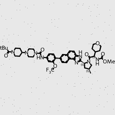 COC(=O)N[C@H](C(=O)N1C[C@@H](C)C[C@H]1c1nc2c(ccc3cc(-c4ccc(NC(=O)N5CCN(C6CCN(C(=O)C(C)(C)C)CC6)CC5)cc4OC(F)(F)F)ccc32)[nH]1)C1CCOCC1